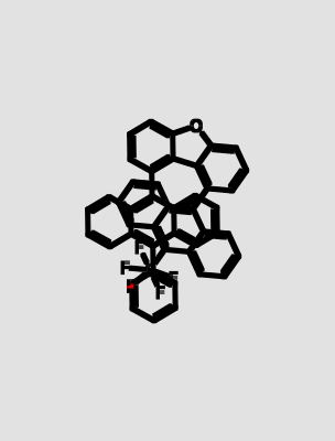 FS(F)(F)(F)(F)c1c2ccccc2c(-c2cccc3oc4cccc(-c5c6ccccc6c(-c6ccccc6)c6ccccc56)c4c23)c2ccccc12